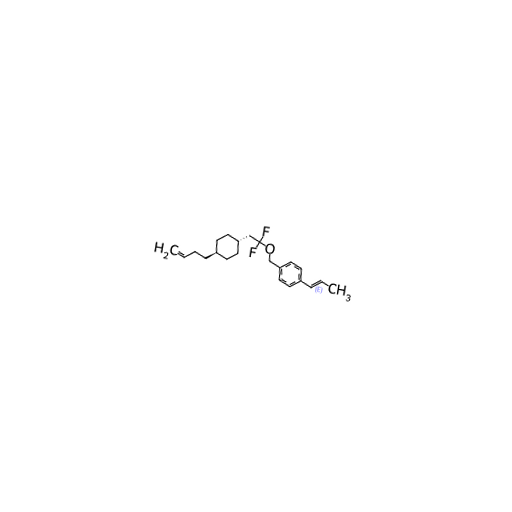 C=CCC[C@H]1CC[C@H](CC(F)(F)OCc2ccc(/C=C/C)cc2)CC1